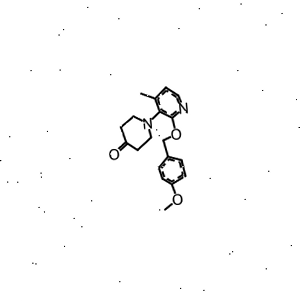 COc1ccc(COc2nccc(C)c2N2CCC(=O)CC2)cc1